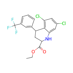 CCOC(=O)C1CC(c2cccc(C(F)(F)F)c2)c2c(Cl)cc(Cl)cc2N1